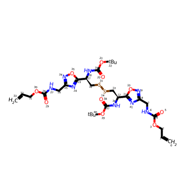 C=CCOC(=O)NCc1noc([C@H](CSSC[C@H](NC(=O)OC(C)(C)C)c2nc(CNC(=O)OCC=C)no2)NC(=O)OC(C)(C)C)n1